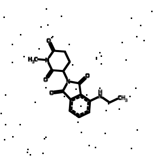 CCNc1cccc2c1C(=O)N(C1CCC(=O)N(C)C1=O)C2=O